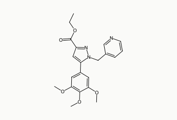 CCOC(=O)c1cc(-c2cc(OC)c(OC)c(OC)c2)n(Cc2cccnc2)n1